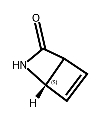 O=C1N[C@H]2C=CC12